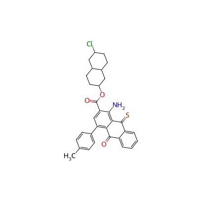 Cc1ccc(-c2cc(C(=O)OC3CCC4CC(Cl)CCC4C3)c(N)c3c2C(=O)c2ccccc2C3=S)cc1